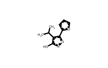 CC(C)c1c(O)noc1-c1ccco1